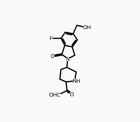 O=CC(=O)C1CCC(N2Cc3cc(CO)cc(F)c3C2=O)CN1